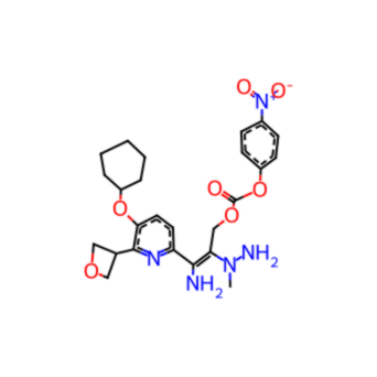 CN(N)/C(COC(=O)Oc1ccc([N+](=O)[O-])cc1)=C(\N)c1ccc(OC2CCCCC2)c(C2COC2)n1